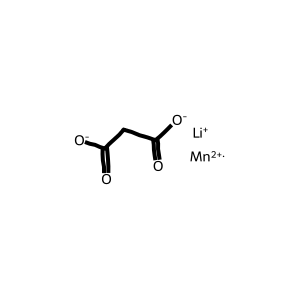 O=C([O-])CC(=O)[O-].[Li+].[Mn+2]